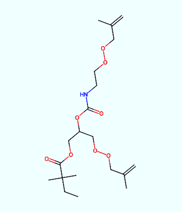 C=C(C)COOCCNC(=O)OC(COOCC(=C)C)COC(=O)C(C)(C)CC